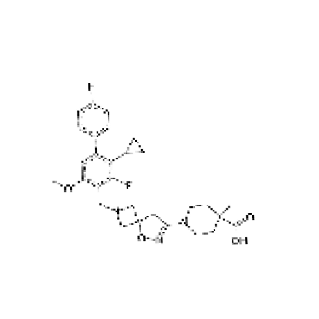 COc1cc(-c2ccc(F)cc2)c(C2CC2)c(F)c1CN1CC2(CC(N3CCC(C)(C(=O)O)CC3)=NO2)C1